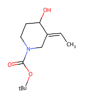 CC=C1CN(C(=O)OC(C)(C)C)CCC1O